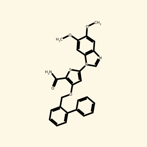 COc1cc2ncn(-c3cc(OCc4ccccc4-c4ccccc4)c(C(N)=O)s3)c2cc1OC